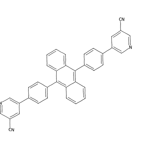 N#Cc1cncc(-c2ccc(-c3c4ccccc4c(-c4ccc(-c5cncc(C#N)c5)cc4)c4ccccc34)cc2)c1